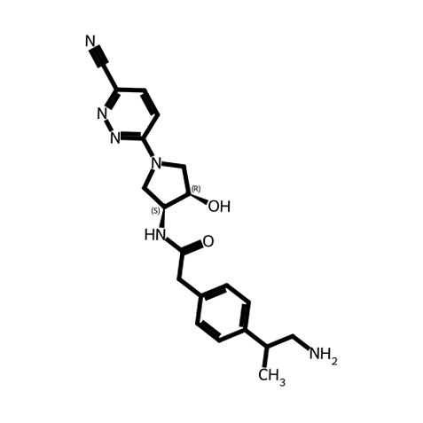 CC(CN)c1ccc(CC(=O)N[C@H]2CN(c3ccc(C#N)nn3)C[C@H]2O)cc1